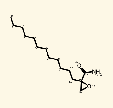 CCCCCCCCCCCCC1(C(N)=O)CO1